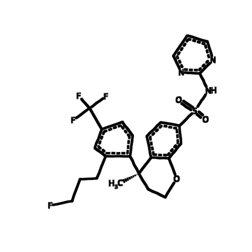 C[C@@]1(c2ccc(C(F)(F)F)cc2CCCF)CCOc2cc(S(=O)(=O)Nc3ncccn3)ccc21